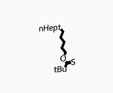 CCCCCCCCCCCCOC(=S)C(C)(C)C